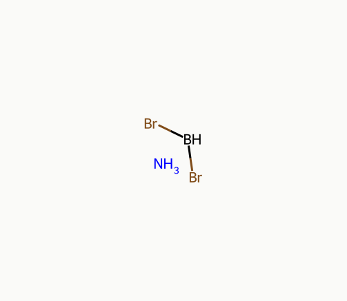 BrBBr.N